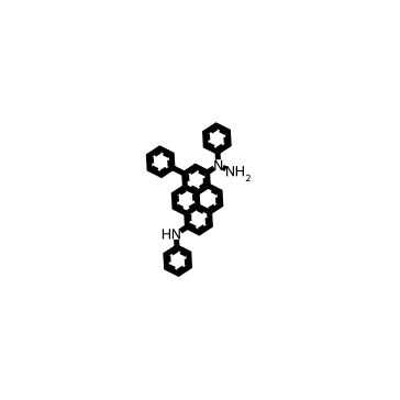 NN(c1ccccc1)c1cc(-c2ccccc2)c2ccc3c(Nc4ccccc4)ccc4ccc1c2c43